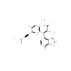 Cc1cc2[nH]c(=O)c(N)c(-c3ccc(F)c4[nH]ncc34)c2nc1C#CC(C)O